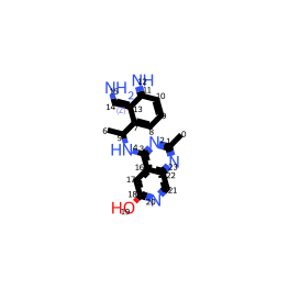 Cc1nc(NC(C)C2=CC=CC(=N)/C2=C\N)c2cc(O)ncc2n1